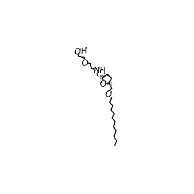 CCCCCCCCCCCCOC[C@@H]1CC[C@@H](CNCCOCCO)O1